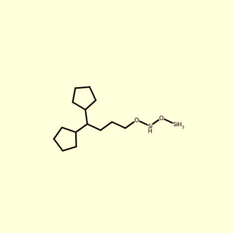 [SiH3]O[SiH]OCCCC(C1CCCC1)C1CCCC1